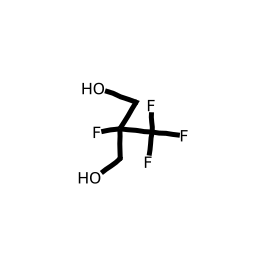 OCC(F)(CO)C(F)(F)F